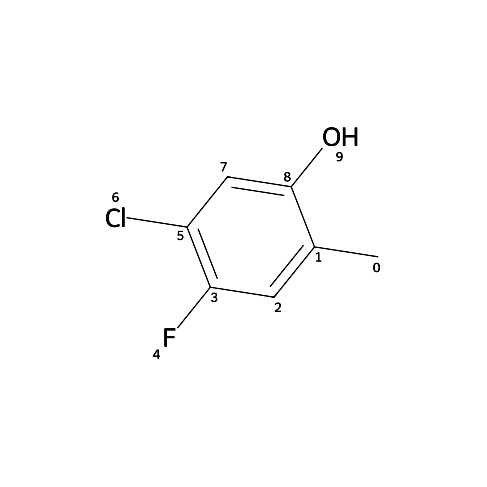 Cc1cc(F)c(Cl)cc1O